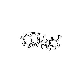 CC(Cc1cccc(F)c1)N1CCc2cc[c]cc2C1